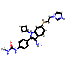 CC(C)NC(=O)Nc1ccc(-c2c(N)c3ccc(SCCn4ccnc4)cc3n2C2CCC2)cc1